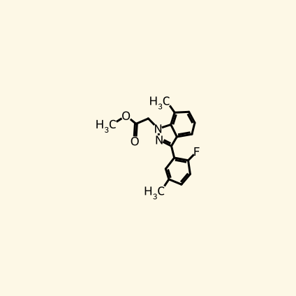 COC(=O)Cn1nc(-c2cc(C)ccc2F)c2cccc(C)c21